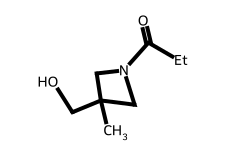 CCC(=O)N1CC(C)(CO)C1